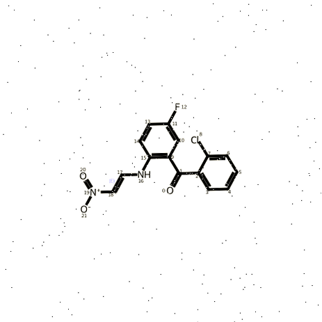 O=C(c1ccccc1Cl)c1cc(F)ccc1N/C=C/[N+](=O)[O-]